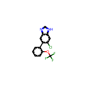 FC(F)(F)Oc1ccccc1-c1cc2nc[nH]c2cc1Cl